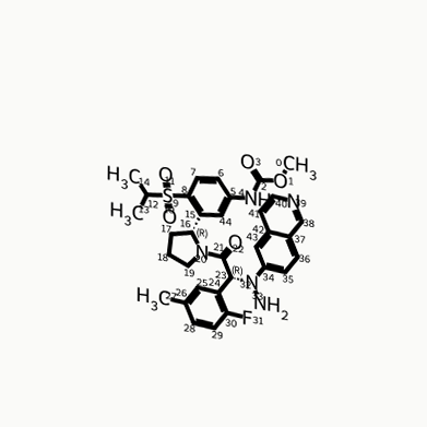 COC(=O)Nc1ccc(S(=O)(=O)C(C)C)c([C@H]2CCCN2C(=O)[C@@H](c2cc(C)ccc2F)N(N)c2ccc3cnccc3c2)c1